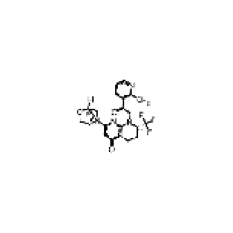 Cc1ncccc1C(=O)CN1c2nc(N3C[C@@H]4CN3CO4)cc(=O)n2CC[C@H]1C(F)(F)F